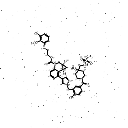 Cc1c(Cl)cccc1OCCOC(=O)N1C[C@@H]2C[C@@H]2c2c(-c3cnn(Cc4cc(C(=O)N5CCC(O)(CNS(C)(=O)=O)CC5)ccc4Cl)c3)cccc21